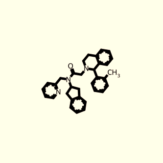 Cc1ccccc1C1c2ccccc2CCN1CC(=O)N(Cc1ccccn1)C1Cc2ccccc2C1